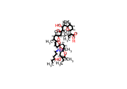 CCCCCCN[C@@H]1C=C[C@]2(O[C@H]([C@@H](CC)C(=O)[C@@H](C)[C@@H](O)[C@H](C)C3O[C@@H](C(CC)C(=O)O)CC[C@@H]3C)[C@@H](C)C[C@H]2C)O[C@@]12CC[C@@](C)([C@H]1CC[C@](O)(CC)[C@H](C)O1)O2